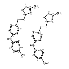 COc1cnc(Nc2ccc(CCC3COC(N)=N3)cc2)nc1.N#Cc1cnc(Nc2ccc(CCC3COC(N)=N3)cc2)cn1